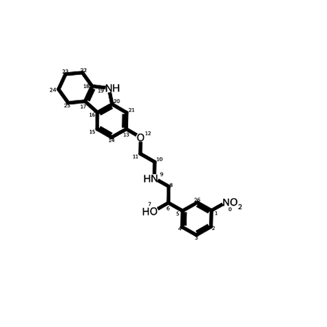 O=[N+]([O-])c1cccc(C(O)CNCCOc2ccc3c4c([nH]c3c2)CCCC4)c1